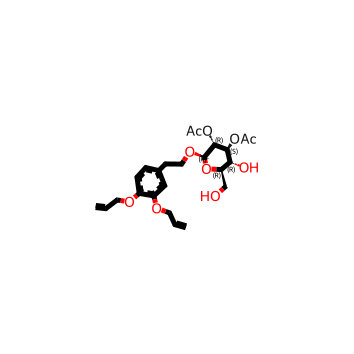 C=CCOc1ccc(CCO[C@@H]2O[C@H](CO)[C@@H](O)[C@H](OC(C)=O)[C@H]2OC(C)=O)cc1OCC=C